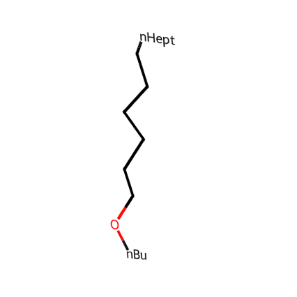 [CH2]CCCOCCCCCCCCCCCCC